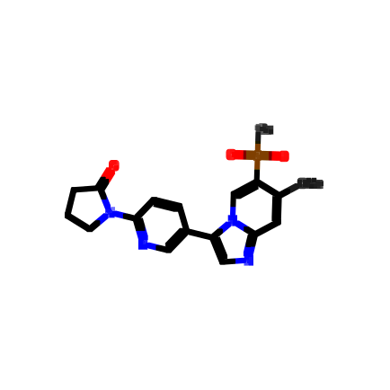 COc1cc2ncc(-c3ccc(N4CCCC4=O)nc3)n2cc1S(=O)(=O)C(C)(C)C